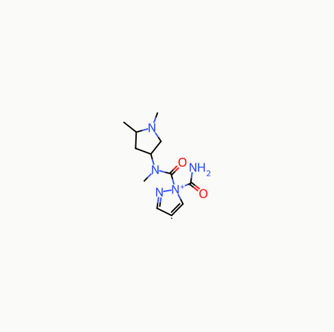 CC1CC(N(C)C(=O)[N+]2(C(N)=O)C=[C]C=N2)CN1C